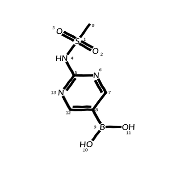 CS(=O)(=O)Nc1ncc(B(O)O)cn1